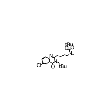 CN(CCCCc1nc2ccc(Cl)cc2c(=O)n1CC(C)(C)C)C(=O)OC(C)(C)C